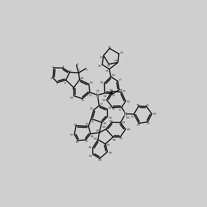 CC1(C)c2ccccc2-c2ccc(N(c3cccc(C4CC5CCC4C5)c3)c3ccc4c(c3)-c3ccccc3C43c4ccccc4-c4ccc(N(c5ccccc5)c5ccccc5)cc43)cc21